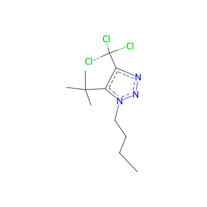 CCCCn1nnc(C(Cl)(Cl)Cl)c1C(C)(C)C